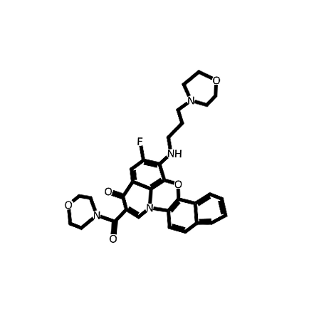 O=C(c1cn2c3c(c(NCCCN4CCOCC4)c(F)cc3c1=O)Oc1c-2ccc2ccccc12)N1CCOCC1